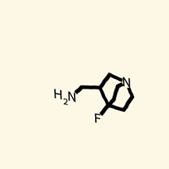 NCC1CN2CCC1(F)CC2